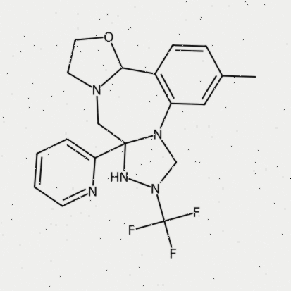 Cc1ccc2c(c1)N1CN(C(F)(F)F)NC1(c1ccccn1)CN1CCOC21